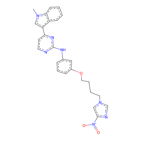 Cn1cc(-c2ccnc(Nc3cccc(OCCCCn4cnc([N+](=O)[O-])c4)c3)n2)c2ccccc21